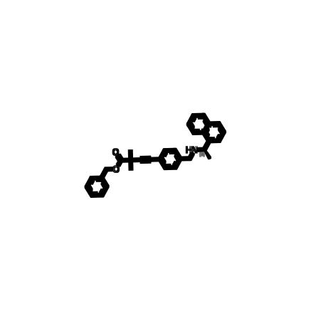 C[C@@H](NCc1ccc(C#CC(C)(C)C(=O)OCc2ccccc2)cc1)c1cccc2ccccc12